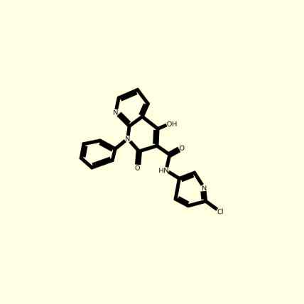 O=C(Nc1ccc(Cl)nc1)c1c(O)c2cccnc2n(-c2ccccc2)c1=O